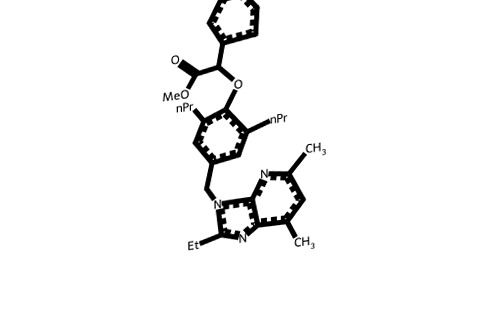 CCCc1cc(Cn2c(CC)nc3c(C)cc(C)nc32)cc(CCC)c1OC(C(=O)OC)c1ccccc1